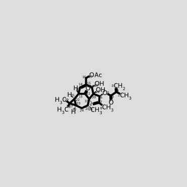 C=C(C)C(=O)O[C@H]1C(C)=C[C@]23C(=O)[C@@H](C=C(COC(C)=O)[C@@H](O)[C@]12O)[C@H]1[C@@H](C[C@H]3C)C1(C)C